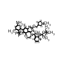 Cc1cc(N)nc(-c2c(Cl)c3c4c(nc(OCC5CCN(C)C5)nc4c2F)N([C@H](C)c2cccnc2NC(=O)OC(C)(C)C)CCO3)c1C(F)(F)F